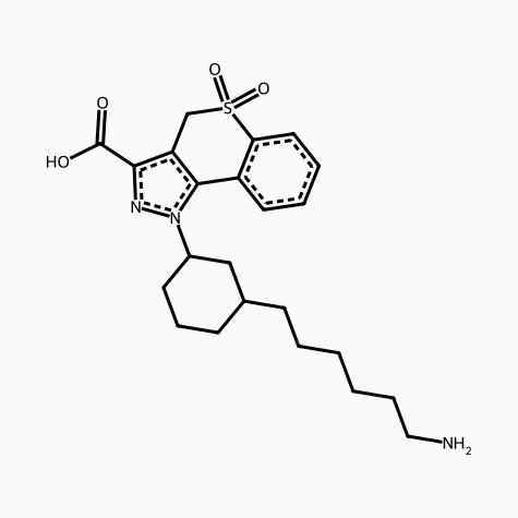 NCCCCCCC1CCCC(n2nc(C(=O)O)c3c2-c2ccccc2S(=O)(=O)C3)C1